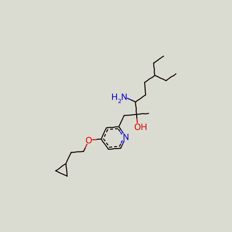 CCC(CC)CCC(N)C(C)(O)Cc1cc(OCCC2CC2)ccn1